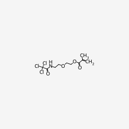 C=C(C)C(=O)OCCOCCNC(=O)C(Cl)(Cl)Cl